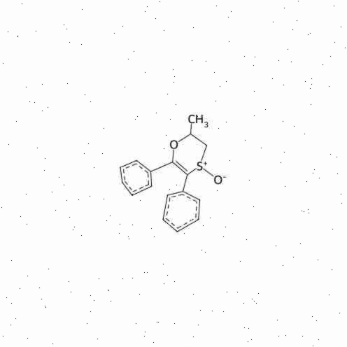 CC1C[S+]([O-])C(c2ccccc2)=C(c2ccccc2)O1